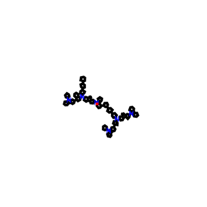 CC1(C)c2cc(N(c3ccc(-c4ccc(-c5cccc(-c6cccc7c6c6ccccc6n7-c6ccc7c(c6)C(C)(C)c6cc(N(c8ccc(-c9ccc(-c%10ccccc%10)cc9)cc8)c8ccc(-c9ccc%10c%11ccccc%11n(-c%11ccccc%11)c%10c9)c9ccccc89)ccc6-7)c5)cc4)cc3)c3ccc(-c4ccc5c6ccccc6n(-c6ccccc6)c5c4)cc3)ccc2-c2ccc(-n3c4ccccc4c4ccccc43)cc21